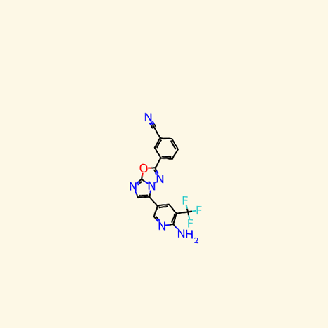 N#Cc1cccc(-c2nn3c(-c4cnc(N)c(C(F)(F)F)c4)cnc3o2)c1